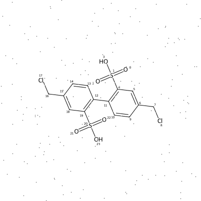 O=S(=O)(O)c1cc(CCl)ccc1-c1ccc(CCl)cc1S(=O)(=O)O